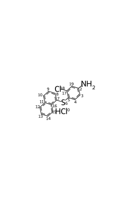 Cl.Nc1ccc(Sc2cccc3ccccc23)c(Cl)c1